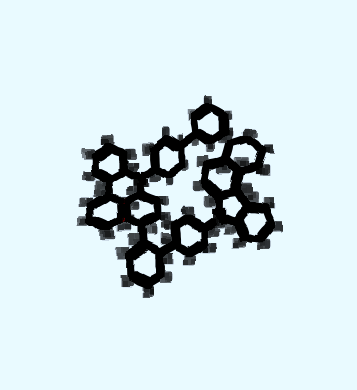 C1=C(c2ccccc2)CCC(N(c2ccc(-c3ccccc3-c3ccc(-n4c5ccccc5c5c6c(ccc54)CCCC6)cc3)cc2)c2ccccc2-c2ccccc2)=C1